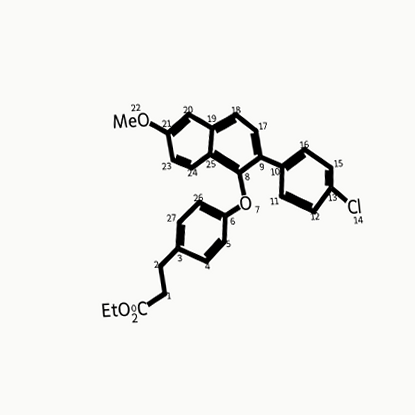 CCOC(=O)CCc1ccc(Oc2c(-c3ccc(Cl)cc3)ccc3cc(OC)ccc23)cc1